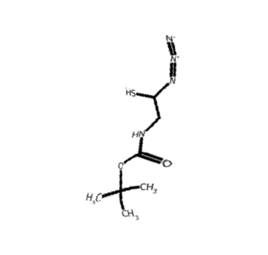 CC(C)(C)OC(=O)NCC(S)N=[N+]=[N-]